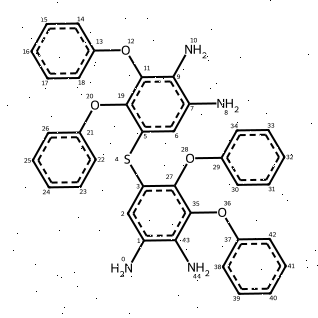 Nc1cc(Sc2cc(N)c(N)c(Oc3ccccc3)c2Oc2ccccc2)c(Oc2ccccc2)c(Oc2ccccc2)c1N